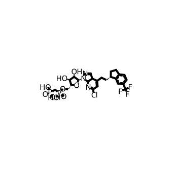 O=P(O)(O)CP(=O)(O)OC[C@H]1O[C@@H](N2N=CC3C(CC[C@@H]4CCc5ccc(C(F)(F)F)cc54)=CC(Cl)=NC32)[C@H](O)[C@@H]1O